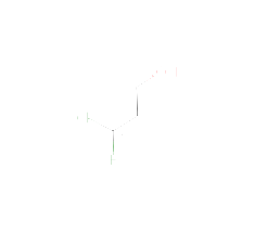 OCCC(F)Cl